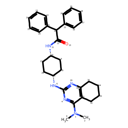 CN(C)c1nc(N[C@H]2CC[C@@H](NC(=O)C(c3ccccc3)c3ccccc3)CC2)nc2c1CCCC2